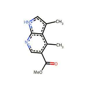 COC(=O)c1cnc2[nH]cc(C)c2c1C